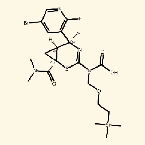 CN(C)C(=O)[C@]12C[C@H]1[C@@](C)(c1cc(Br)cnc1F)N=C(N(COCC[Si](C)(C)C)C(=O)O)S2